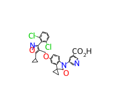 O=C(O)c1cncc(N2C(=O)C3(CC3)c3cc(OCc4c(-c5c(Cl)cccc5Cl)noc4C4CC4)ccc32)c1